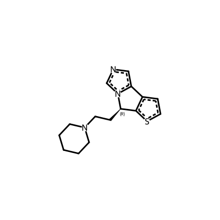 c1cc2c(s1)[C@@H](CCN1CCCCC1)n1cncc1-2